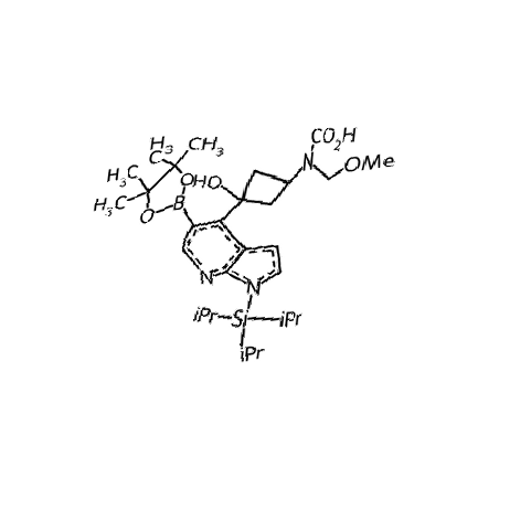 COCN(C(=O)O)C1CC(O)(c2c(B3OC(C)(C)C(C)(C)O3)cnc3c2ccn3[Si](C(C)C)(C(C)C)C(C)C)C1